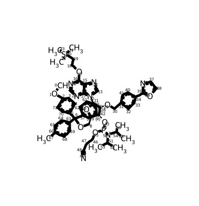 COc1ccc(C(OC[C@H]2O[C@@H](n3cnc4c(OCC[Si](C)(C)C)ncnc43)[C@H](OCc3ccc(-c4ncco4)cc3)[C@@H]2OP(OCCC#N)N(C(C)C)C(C)C)(c2ccccc2)c2ccc(C)cc2)cc1